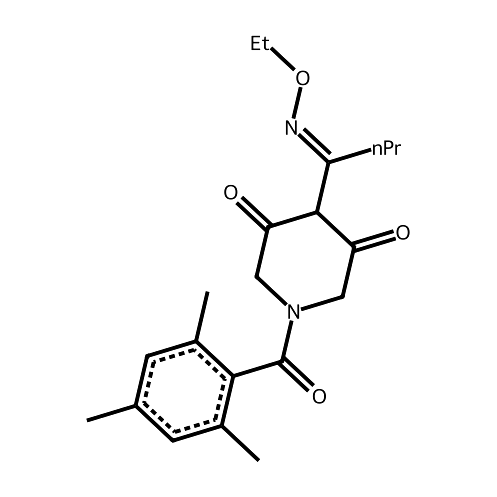 CCCC(=NOCC)C1C(=O)CN(C(=O)c2c(C)cc(C)cc2C)CC1=O